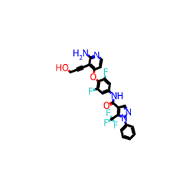 Nc1nccc(Oc2c(F)cc(NC(=O)c3cnn(-c4ccccc4)c3C(F)(F)F)cc2F)c1C#CCO